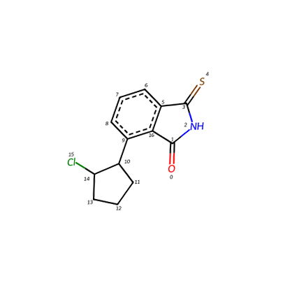 O=C1NC(=S)c2cccc(C3CCCC3Cl)c21